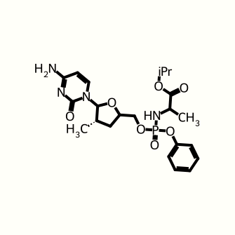 CC(C)OC(=O)C(C)NP(=O)(OCC1C[C@H](C)C(n2ccc(N)nc2=O)O1)Oc1ccccc1